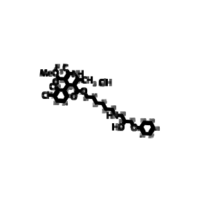 COC(=O)C1=C(C(F)(F)F)NC(C)=C(C(=O)OCCCCCCNCC(O)COc2ccccc2)C1c1cccc(Cl)c1Cl.Cl